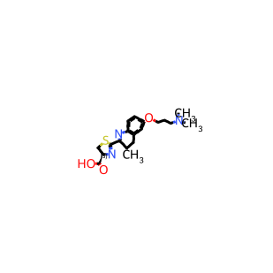 CC1Cc2cc(OCCCN(C)C)ccc2N=C1C1=N[C@@H](C(=O)O)CS1